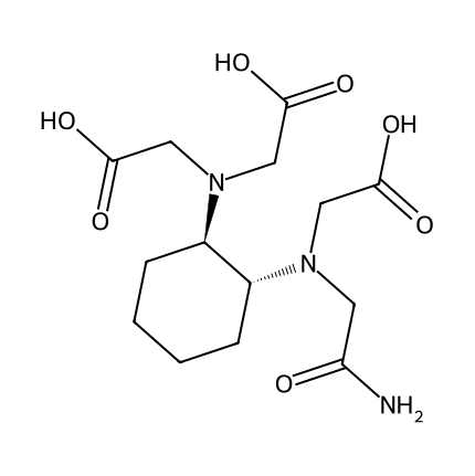 NC(=O)CN(CC(=O)O)[C@@H]1CCCC[C@H]1N(CC(=O)O)CC(=O)O